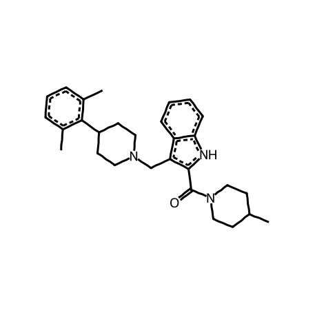 Cc1cccc(C)c1C1CCN(Cc2c(C(=O)N3CCC(C)CC3)[nH]c3ccccc23)CC1